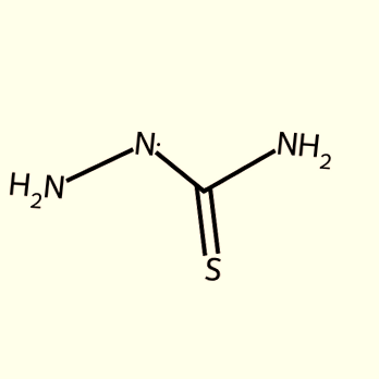 N[N]C(N)=S